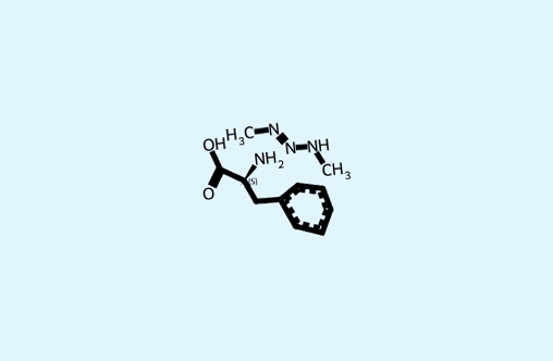 CN=NNC.N[C@@H](Cc1ccccc1)C(=O)O